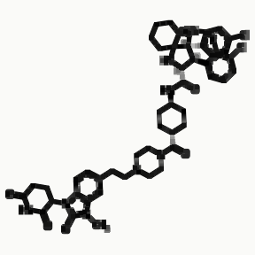 Cn1c(=O)n(C2CCC(=O)NC2=O)c2ccc(CCN3CCN(C(=O)[C@H]4CC[C@H](NC(=O)[C@@H]5NC6(CCCCC6)[C@@]6(C(=O)Nc7cc(Cl)ccc76)[C@H]5c5cccc(Cl)c5F)CC4)CC3)cc21